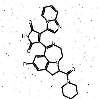 O=C1NC(=O)C(c2cnc3ccccn23)=C1C1=NCCN2c3c(cc(F)cc31)CC2C(=O)N1CCCCC1